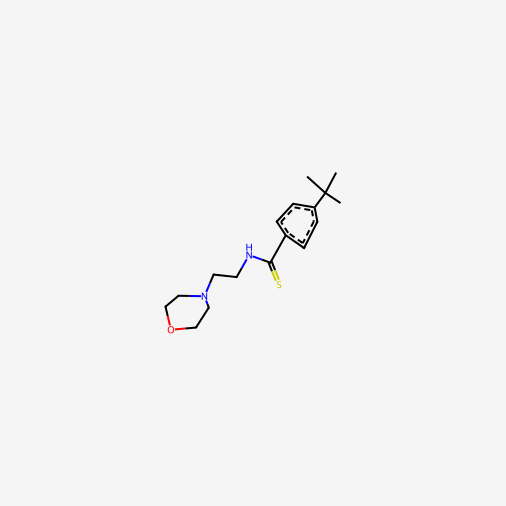 CC(C)(C)c1ccc(C(=S)NCCN2CCOCC2)cc1